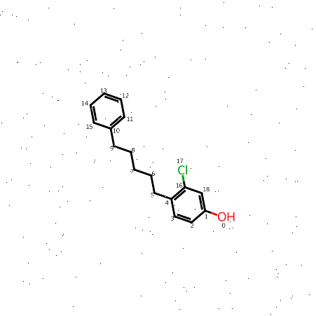 Oc1ccc(CCCCCc2ccccc2)c(Cl)c1